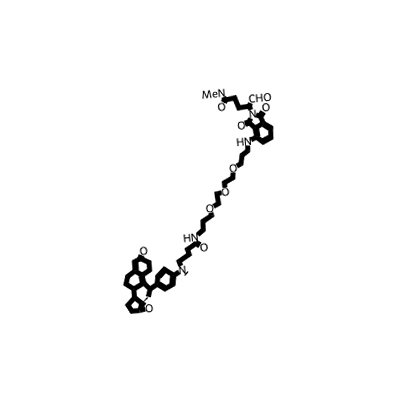 CNC(=O)CCC(C=O)N1C(=O)c2cccc(NCCCOCCOCCOCCCNC(=O)CCCN(C)c3ccc(C4C[C@]56OC5CCC6C5CCC6=CC(=O)CCC6=C45)cc3)c2C1=O